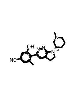 Cc1cc(C#N)cc(O)c1-c1cc2c(nn1)N([C@H]1CCCN(C)C1)CC2